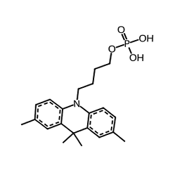 Cc1ccc2c(c1)C(C)(C)c1cc(C)ccc1N2CCCCOP(=O)(O)O